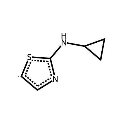 [c]1cnc(NC2CC2)s1